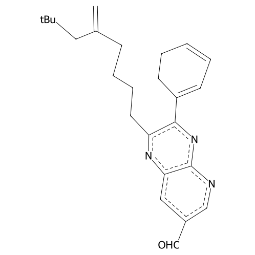 C=C(CCCCc1nc2cc(C=O)cnc2nc1C1=CC=CCC1)CC(C)(C)C